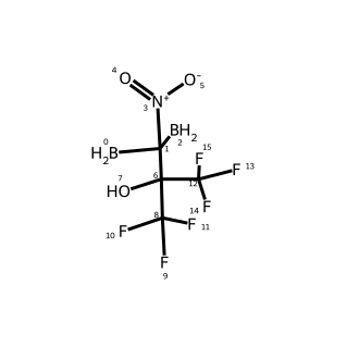 BC(B)([N+](=O)[O-])C(O)(C(F)(F)F)C(F)(F)F